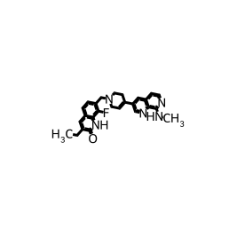 CCc1cc2ccc(CN3CC=C(c4cnc5c(NC)nccc5c4)CC3)c(F)c2[nH]c1=O